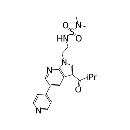 CC(C)C(=O)c1cn(CCNS(=O)(=O)N(C)C)c2ncc(-c3ccncc3)cc12